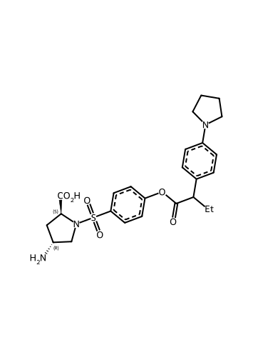 CCC(C(=O)Oc1ccc(S(=O)(=O)N2C[C@H](N)C[C@H]2C(=O)O)cc1)c1ccc(N2CCCC2)cc1